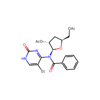 CCc1c[nH]c(=O)nc1N(C(=O)c1ccccc1)[C@@H]1O[C@H](COC(C)=O)C[C@H]1OC(C)=O